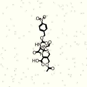 CC(=O)OCC1=C(C(=O)O)N2C(=O)[C@H](NC(=O)OCc3ccc([N+](=O)[O-])cc3)C2(NC=O)SC1